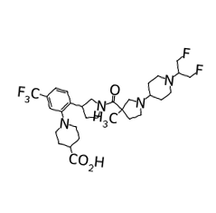 CC1(C(=O)N2CCC(c3ccc(C(F)(F)F)cc3N3CCC(C(=O)O)CC3)C2)CCN(C2CCN(C(CF)CF)CC2)C1